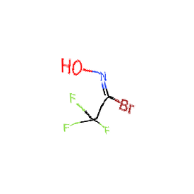 O/N=C(/Br)C(F)(F)F